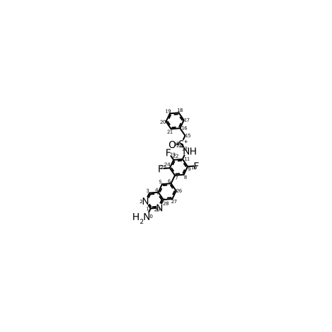 Nc1ncc2cc(-c3cc(F)c(N[S+]([O-])Cc4ccccc4)c(F)c3F)ccc2n1